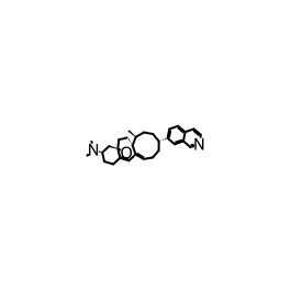 C[C@H]1CC[C@H](c2ccc3ccncc3c2)CC/C=C2/C=C3CC[C@H](N(C)C)C[C@]34CC[C@@]21O4